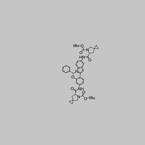 CC(C)(C)OC(=O)N1CC2(CC2)C[C@H]1C(=O)Nc1ccc2c(c1)OC(c1ccccc1)n1c-2cc2cc(NC(=O)[C@@H]3CC4(CC4)CN3C(=O)OC(C)(C)C)ccc21